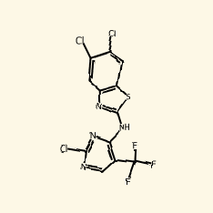 FC(F)(F)c1cnc(Cl)nc1Nc1nc2cc(Cl)c(Cl)cc2s1